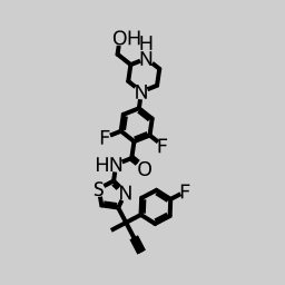 C#CC(C)(c1ccc(F)cc1)c1csc(NC(=O)c2c(F)cc(N3CCNC(CO)C3)cc2F)n1